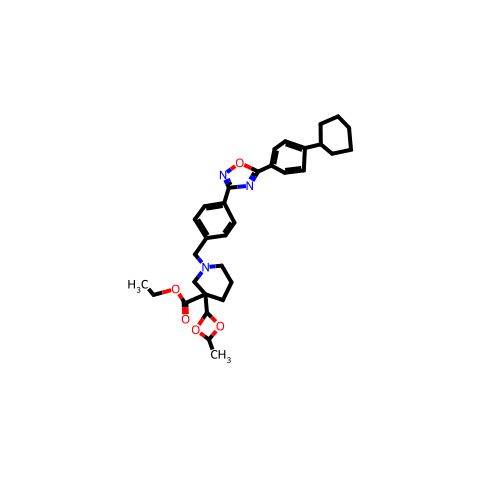 CCOC(=O)C1(C2OC(C)O2)CCCN(Cc2ccc(-c3noc(-c4ccc(C5CCCCC5)cc4)n3)cc2)C1